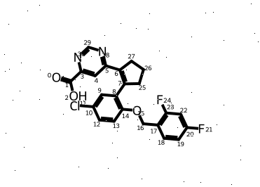 O=C(O)c1cc(C2=C(c3cc(Cl)ccc3OCc3ccc(F)cc3F)CCC2)ncn1